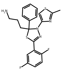 Cc1nc(N2N=C(c3cc(F)ccc3F)SC2(CCCN)c2ccccc2)cs1